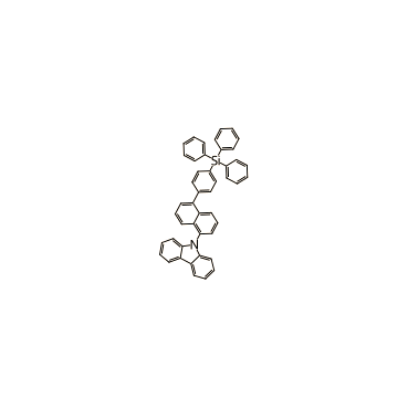 c1ccc([Si](c2ccccc2)(c2ccccc2)c2ccc(-c3cccc4c(-n5c6ccccc6c6ccccc65)cccc34)cc2)cc1